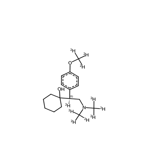 [2H]C([2H])([2H])Oc1ccc([C@@]([2H])(CN(C([2H])([2H])[2H])C([2H])([2H])[2H])C2(O)CCCCC2)cc1